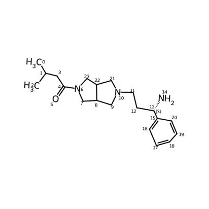 CC(C)CC(=O)N1CC2CN(CC[C@H](N)c3ccccc3)CC2C1